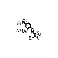 CCN(CC)c1ccc(N=Nc2snc(C)c2Br)c(NC(C)=O)c1